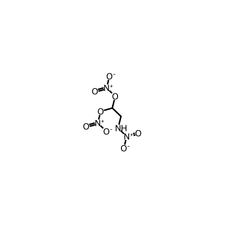 O=[N+]([O-])NCC(O[N+](=O)[O-])O[N+](=O)[O-]